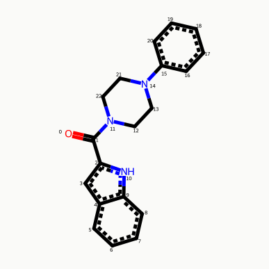 O=C(c1cc2ccccc2[nH]1)N1CCN(c2ccccc2)CC1